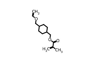 C=COCC1CCC(COC(=O)C(=C)C)CC1